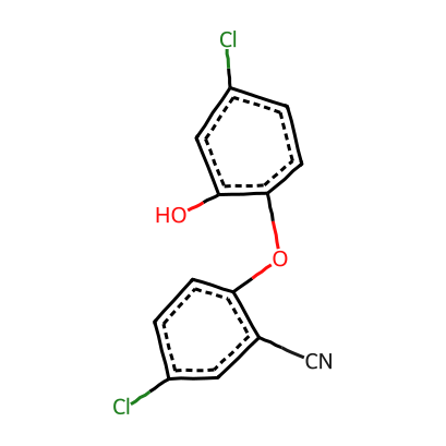 N#Cc1cc(Cl)ccc1Oc1ccc(Cl)cc1O